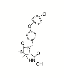 CC1(C)NC(=O)N(Cc2ccc(Oc3ccc(Cl)cc3)cc2)[C@H]1C(=O)NO